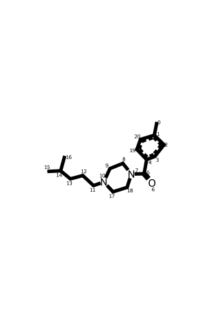 Cc1ccc(C(=O)N2CCN(CCCC(C)C)CC2)cc1